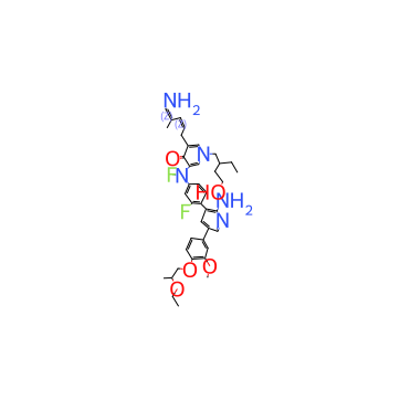 CCOC(C)COc1ccc(-c2cnc(N)c(-c3ccc(N(F)c4cn(CC(CC)CCO)cc(C/C=C\C(C)=C/N)c4=O)cc3F)c2)cc1OC